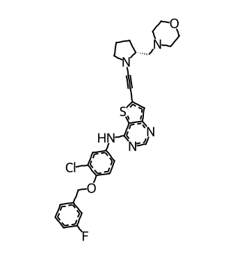 Fc1cccc(COc2ccc(Nc3ncnc4cc(C#CN5CCC[C@@H]5CN5CCOCC5)sc34)cc2Cl)c1